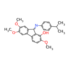 COc1cc2c(cc1OC)-c1ccc(OC)c(O)c1C2=Nc1ccc(C(C)C)cc1